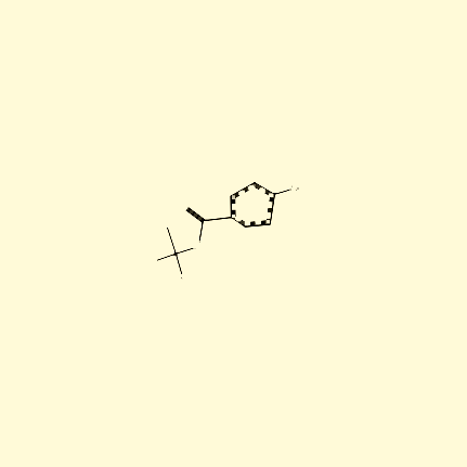 CC(C)(N=O)OC(=O)c1ccc([N+](=O)[O-])cc1